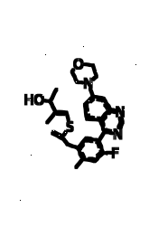 C=C(Cc1cc(-c2ncnc3cc(N4CCOCC4)ccc23)c(F)cc1C)S/C=C(\C)C(C)O